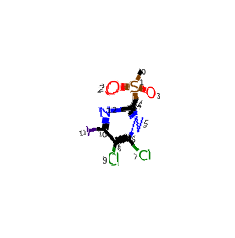 CS(=O)(=O)c1nc(Cl)c(Cl)c(I)n1